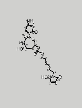 Nc1ccn([C@@H]2OCC(OC(=O)OCCSSCCN3C(=O)C=CC3O)CC[C@H](O)[C@H](F)C2F)c(=O)n1